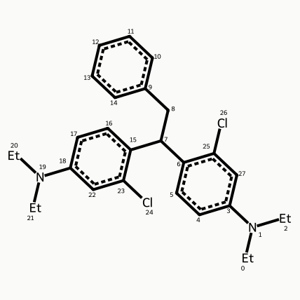 CCN(CC)c1ccc(C(Cc2ccccc2)c2ccc(N(CC)CC)cc2Cl)c(Cl)c1